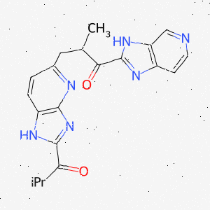 CC(C)C(=O)c1nc2nc(CC(C)C(=O)c3nc4ccncc4[nH]3)ccc2[nH]1